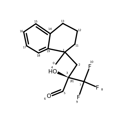 CC1(C[C@@](O)(C=O)C(F)(F)F)CCCc2ccccc21